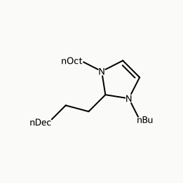 CCCCCCCCCCCCC1N(CCCC)C=CN1CCCCCCCC